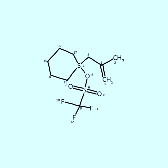 C=C(C)CS1(OS(=O)(=O)C(F)(F)F)CCCCC1